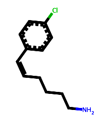 NCCCC/C=C\c1ccc(Cl)cc1